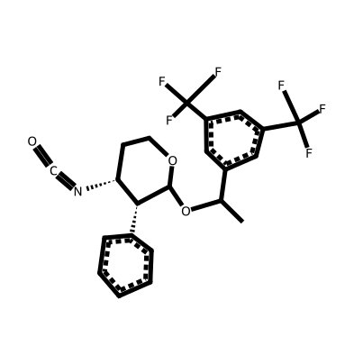 CC(OC1OCC[C@@H](N=C=O)[C@H]1c1ccccc1)c1cc(C(F)(F)F)cc(C(F)(F)F)c1